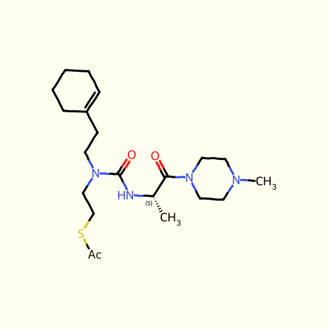 CC(=O)SCCN(CCC1=CCCCC1)C(=O)N[C@@H](C)C(=O)N1CCN(C)CC1